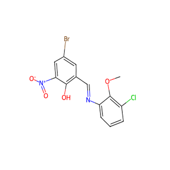 COc1c(Cl)cccc1/N=C/c1cc(Br)cc([N+](=O)[O-])c1O